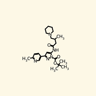 Cc1ccc(-c2cc(NC(=O)CC(C)CN3CCCCC3)n(C(=O)OC(C)(C)C)n2)cn1